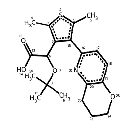 Cc1sc(C)c(C(OC(C)(C)C)C(=O)O)c1-c1ccc2c(n1)CCCO2